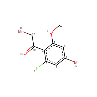 COc1cc(Br)cc(F)c1C(=O)CBr